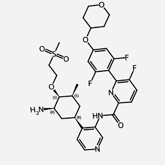 C[C@H]1C[C@@H](c2ccncc2NC(=O)c2ccc(F)c(-c3c(F)cc(OC4CCOCC4)cc3F)n2)C[C@@H](N)[C@H]1OCCS(C)(=O)=O